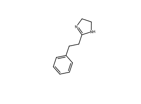 c1ccc(CCC2=NCCN2)cc1